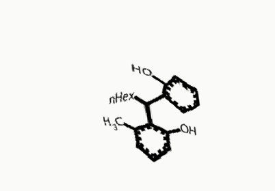 CCCCCCC(c1ccccc1O)c1c(C)cccc1O